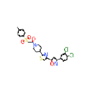 Cc1ccc(S(=O)(=O)CC(=O)N2CCC(c3nc(-c4cc(-c5ccc(Cl)c(Cl)c5)no4)cs3)CC2)cc1